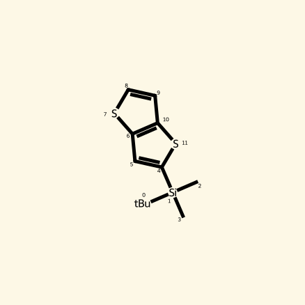 CC(C)(C)[Si](C)(C)c1cc2sccc2s1